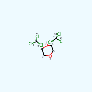 C1COCCO1.ClC(Cl)Cl.ClC(Cl)Cl